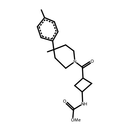 COC(=O)NC1CC(C(=O)N2CCC(C)(c3ccc(C)cc3)CC2)C1